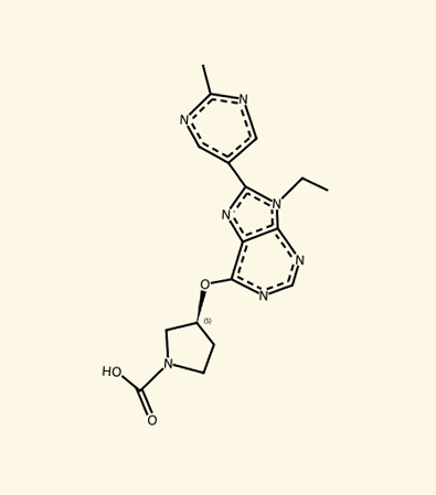 CCn1c(-c2cnc(C)nc2)nc2c(O[C@H]3CCN(C(=O)O)C3)ncnc21